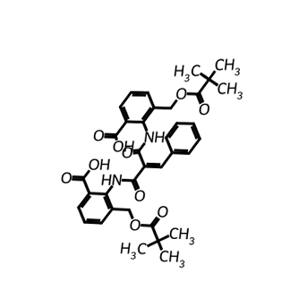 CC(C)(C)C(=O)OCc1cccc(C(=O)O)c1NC(=O)C(=Cc1ccccc1)C(=O)Nc1c(COC(=O)C(C)(C)C)cccc1C(=O)O